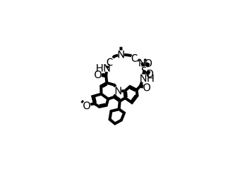 COC1=CC2C=C3Cn4c(c(C5CCCCC5)c5ccc(cc54)C(=O)NS(=O)(=O)N(C)CCN(C)CCNC3=O)C2C=C1